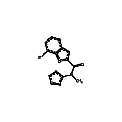 CN(C(=O)c1cc2cccc(Br)c2o1)c1nccs1